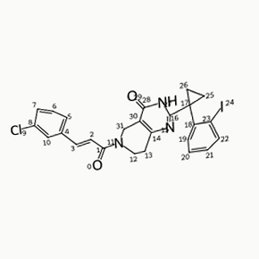 O=C(C=Cc1cccc(Cl)c1)N1CCc2nc(C3(c4ccccc4I)CC3)[nH]c(=O)c2C1